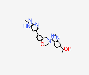 Cc1nc2ncc(-c3ccc4c(c3)CN(c3ncnc5c3CCC(C(C)O)C5)CCO4)cc2[nH]1